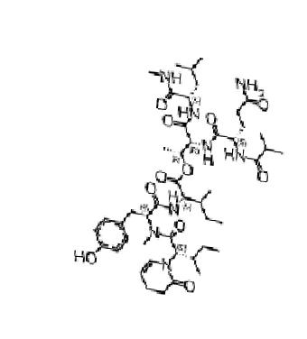 CCC(C)[C@H](NC(=O)[C@H](Cc1ccc(O)cc1)N(C)C(=O)[C@H](C(C)CC)N1C=CCCC1=O)C(=O)O[C@H](C)[C@@H](NC(=O)[C@H](CCC(N)=O)NC(=O)C(C)C)C(=O)N[C@@H](CC(C)C)C(=O)NC